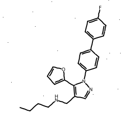 CCCCNCc1cnn(-c2ccc(-c3ccc(F)cc3)cc2)c1-c1ccco1